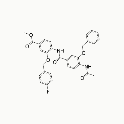 COC(=O)c1ccc(NC(=O)c2ccc(NC(C)=O)c(OCc3ccccc3)c2)c(OCc2ccc(F)cc2)c1